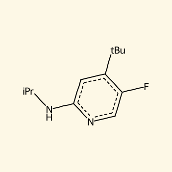 CC(C)Nc1cc(C(C)(C)C)c(F)cn1